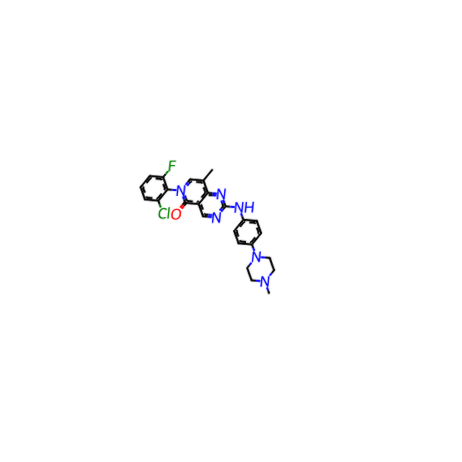 Cc1cn(-c2c(F)cccc2Cl)c(=O)c2cnc(Nc3ccc(N4CCN(C)CC4)cc3)nc12